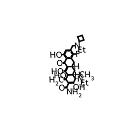 C=C1C(C(N)=O)=C(O)[C@@H](N(C)CC)[C@@H]2C[C@@H]3Cc4c(F)c(CN(CC)C5CCC5)cc(O)c4C(=O)C3=C(O)[C@]12O